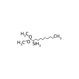 CCCCCCCCCC([SiH3])C(OCC)OCC